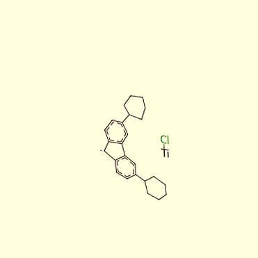 [CH]1c2ccc(C3CCCCC3)cc2-c2cc(C3CCCCC3)ccc21.[Cl][Ti]